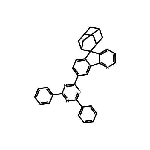 c1ccc(-c2nc(-c3ccccc3)nc(-c3ccc4c(c3)-c3ncccc3C43C4CC5CC(C4)CC3C5)n2)cc1